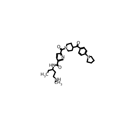 CCC(CCNC)NC(=O)c1ccc(C(=O)N2CCC(C(=O)c3ccc(N4CCCC4)cc3)CC2)nc1